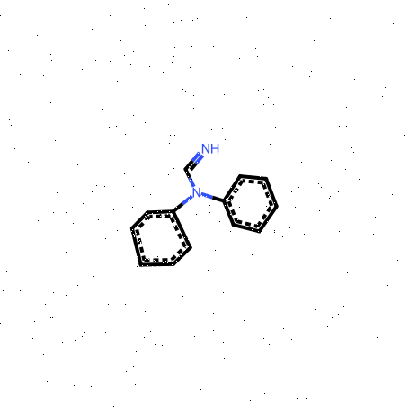 N=CN(c1ccccc1)c1ccccc1